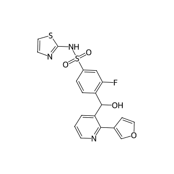 O=S(=O)(Nc1nccs1)c1ccc(C(O)c2cccnc2-c2ccoc2)c(F)c1